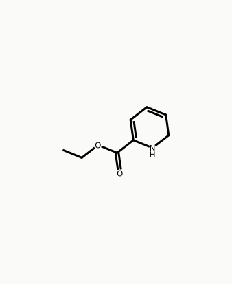 CCOC(=O)C1=CC=CCN1